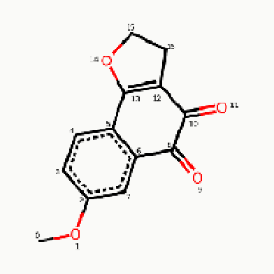 COc1ccc2c(c1)C(=O)C(=O)C1=C2OCC1